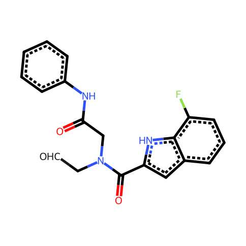 O=CCN(CC(=O)Nc1ccccc1)C(=O)c1cc2cccc(F)c2[nH]1